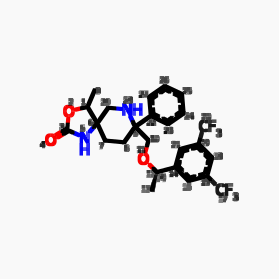 CC1OC(=O)NC12CCC(CO[C@H](C)c1cc(C(F)(F)F)cc(C(F)(F)F)c1)(c1ccccc1)NC2